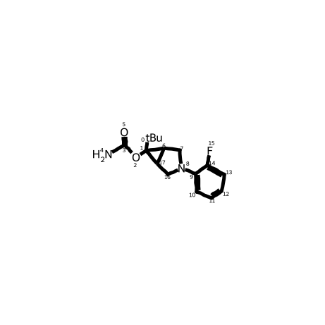 CC(C)(C)C1(OC(N)=O)C2CN(c3ccccc3F)CC21